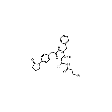 CCN(C[C@@H](O)[C@H](Cc1ccccc1)NC(=O)Cc1ccc(N2CCCC2=O)cc1)NC(=O)CCC(C)C